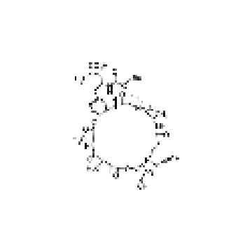 C#CC(=O)N1CCC(=O)NC(C)C(=O)NC(C)C(=O)Nc2cc(C[C@@H](CC(C)C(=O)O)NC(=O)OC(C)(C)C)ccc2OC(=O)C(C)NC(=O)C(C)NC(=O)CCN1C(=O)C#C